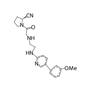 COc1cccc(-c2ccc(NCCNCC(=O)N3CCC[C@H]3C#N)nc2)c1